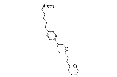 CCCC(C)CCCCCc1ccc(C2CCC(CCC3CCC(C)CO3)OC2)cc1